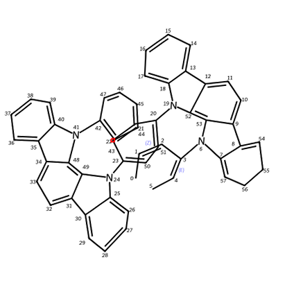 C/C=C\C(=C/C)n1c2c(c3ccc4c5ccccc5n(-c5ccc(-n6c7ccccc7c7ccc8c9ccccc9n(-c9ccccc9)c8c76)cc5)c4c31)=CCCC=2